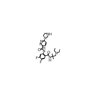 CCN(CC)CC(C)(C)NC(=O)c1cc(F)c(F)cc1NC(=O)c1ccc(N2CCNC2)nn1